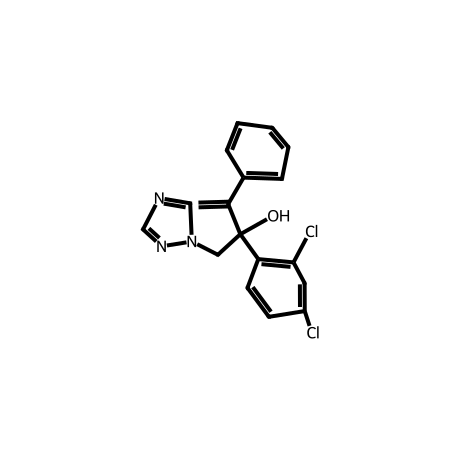 C=C(c1ccccc1)C(O)(Cn1cncn1)c1ccc(Cl)cc1Cl